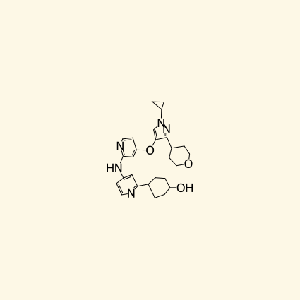 OC1CCC(c2cc(Nc3cc(Oc4cn(C5CC5)nc4C4CCOCC4)ccn3)ccn2)CC1